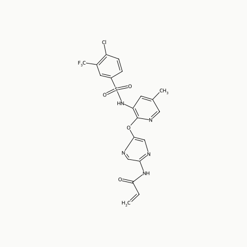 C=CC(=O)Nc1cnc(Oc2ncc(C)cc2NS(=O)(=O)c2ccc(Cl)c(C(F)(F)F)c2)cn1